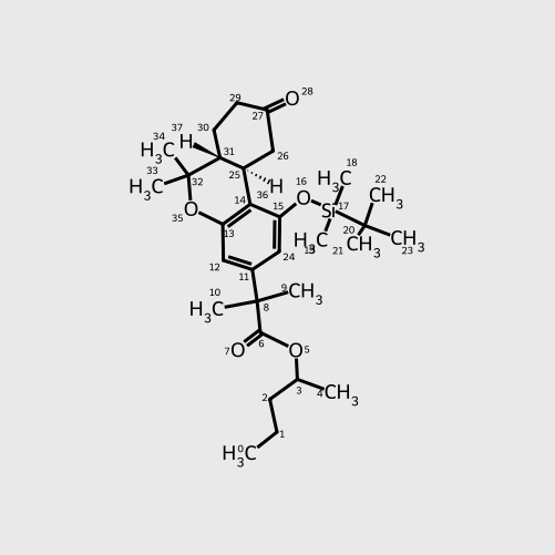 CCCC(C)OC(=O)C(C)(C)c1cc2c(c(O[Si](C)(C)C(C)(C)C)c1)[C@@H]1CC(=O)CC[C@H]1C(C)(C)O2